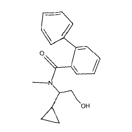 CN(C(=O)c1ccccc1-c1ccccc1)C(CO)C1CC1